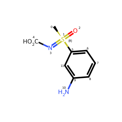 C[S@](=O)(=NC(=O)O)c1cccc(N)c1